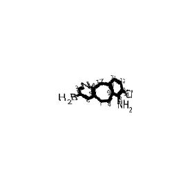 Bc1cnc2c(c1)CCc1c(ccc(Cl)c1N)C2